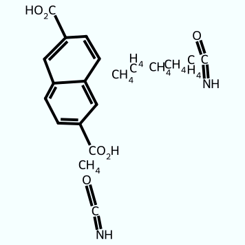 C.C.C.C.C.C.N=C=O.N=C=O.O=C(O)c1ccc2cc(C(=O)O)ccc2c1